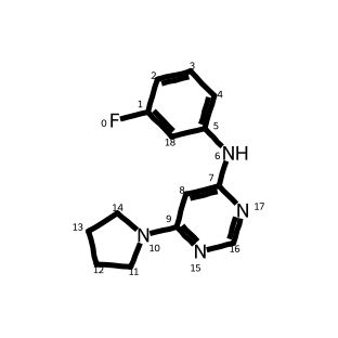 Fc1cccc(Nc2cc(N3CCCC3)ncn2)c1